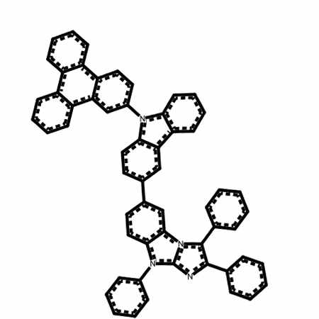 c1ccc(-c2nc3n(-c4ccccc4)c4ccc(-c5ccc6c(c5)c5ccccc5n6-c5ccc6c7ccccc7c7ccccc7c6c5)cc4n3c2-c2ccccc2)cc1